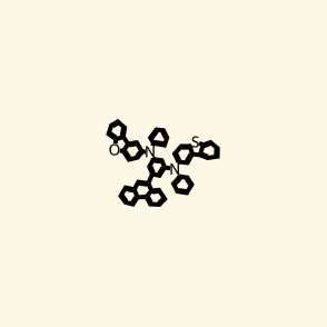 c1ccc(N(c2cc(-c3cc4ccccc4c4ccccc34)cc(N(c3ccccc3)c3ccc4sc5ccccc5c4c3)c2)c2ccc3oc4ccccc4c3c2)cc1